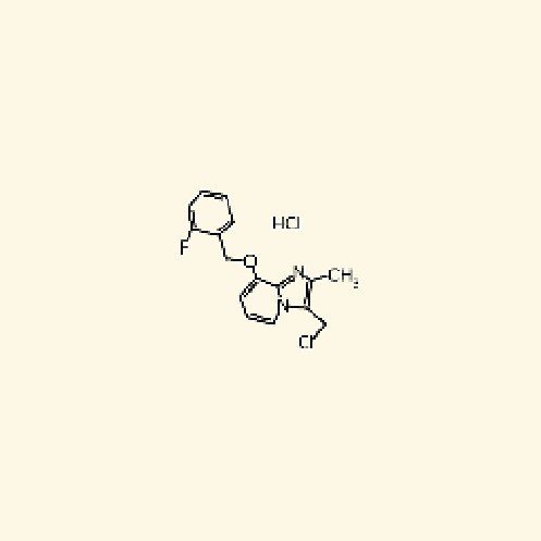 Cc1nc2c(OCc3ccccc3F)cccn2c1CCl.Cl